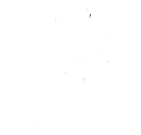 C=C[C@]1(CC)O[C@@H](n2cnc3c(=O)[nH]c(NC(c4ccccc4)(c4ccccc4)c4ccc(OC)cc4)nc32)C(F)(F)[C@@H]1C